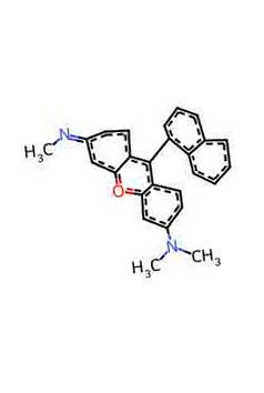 C/N=c1/ccc2c(-c3cccc4ccccc34)c3ccc(N(C)C)cc3oc-2c1